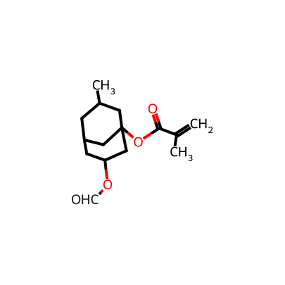 C=C(C)C(=O)OC12CC(C)CC(CC(OC=O)C1)C2